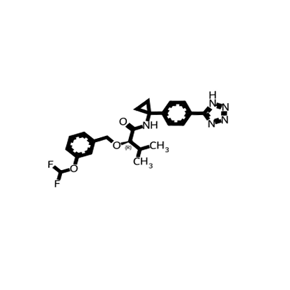 CC(C)[C@@H](OCc1cccc(OC(F)F)c1)C(=O)NC1(c2ccc(-c3nnn[nH]3)cc2)CC1